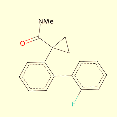 CNC(=O)C1(c2ccccc2-c2ccccc2F)CC1